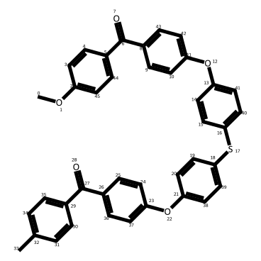 COc1ccc(C(=O)c2ccc(Oc3ccc(Sc4ccc(Oc5ccc(C(=O)c6ccc(C)cc6)cc5)cc4)cc3)cc2)cc1